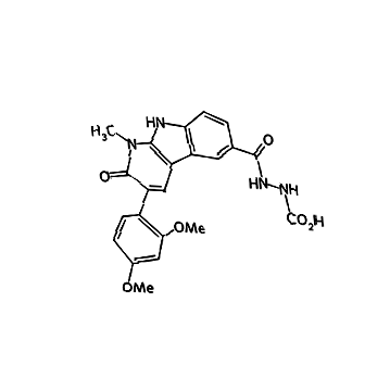 COc1ccc(-c2cc3c4cc(C(=O)NNC(=O)O)ccc4[nH]c3n(C)c2=O)c(OC)c1